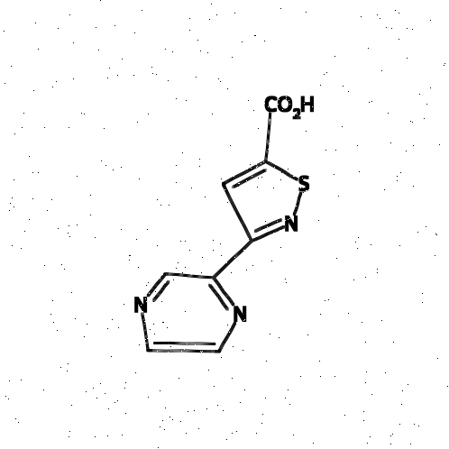 O=C(O)c1cc(-c2cnccn2)ns1